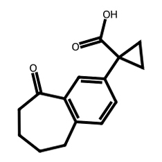 O=C1CCCCc2ccc(C3(C(=O)O)CC3)cc21